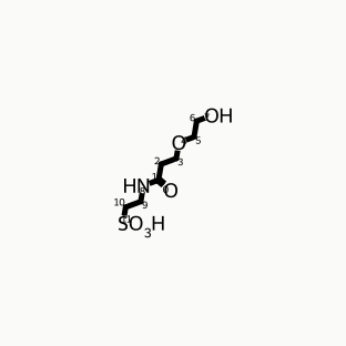 O=C(CCOCCO)NCCS(=O)(=O)O